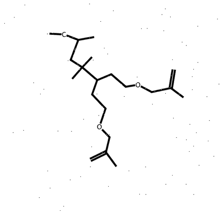 [CH2]CC(C)CC(C)(C)[C](CCOCC(=C)C)CCOCC(=C)C